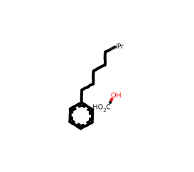 CC(C)CCCCCc1ccccc1.O=C(O)O